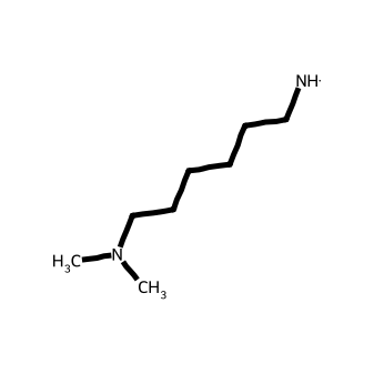 CN(C)CCCCCC[NH]